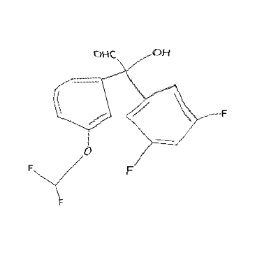 O=CC(O)(c1cc(F)cc(F)c1)c1cccc(OC(F)F)c1